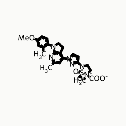 COc1ccc(N2CCc3c(-n4ccc(N5CC[N+](C)(C(=O)[O-])S5(=O)=O)n4)cc(C)nc32)c(C)c1